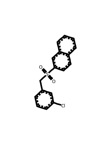 O=S(=O)(Cc1cccc(Cl)c1)c1ccc2ccccc2c1